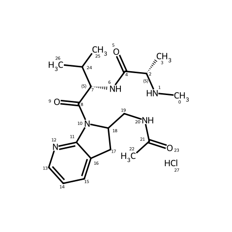 CN[C@@H](C)C(=O)N[C@H](C(=O)N1c2ncccc2CC1CNC(C)=O)C(C)C.Cl